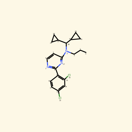 CCCN(c1ccnc(-c2ccc(Cl)cc2Cl)n1)C(C1CC1)C1CC1